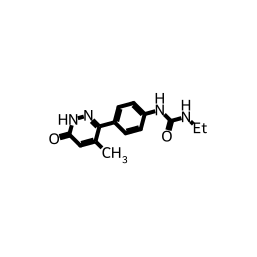 CCNC(=O)Nc1ccc(-c2n[nH]c(=O)cc2C)cc1